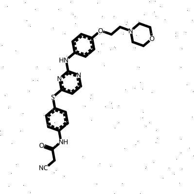 N#CCC(=O)Nc1ccc(Sc2ccnc(Nc3ccc(OCCN4CCOCC4)cc3)n2)cc1